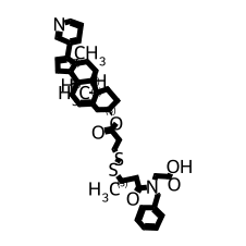 C[C@@H](CC(=O)N(CC(=O)O)Cc1ccccc1)SSCCC(=O)O[C@H]1CC[C@@]2(C)C(=CC[C@H]3C4CC=C(c5cccnc5)[C@@]4(C)CC[C@@H]32)C1